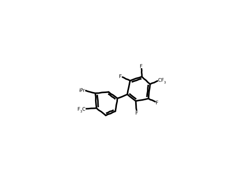 CC(C)c1cc(-c2c(F)c(F)c(C(F)(F)F)c(F)c2F)ccc1C(F)(F)F